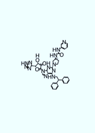 O=C(Nc1cccnc1)N[C@@H]1CCN(c2nc(NCC(c3ccccc3)c3ccccc3)c3ncn([C@@H]4OC(c5nn[nH]n5)C(O)[C@H]4O)c3n2)C1